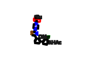 COc1c(-c2ccc(NC(C)=O)c(F)c2)cccc1-c1csc(N2CCN(C(=O)OC(C)(C)C)CC2)n1